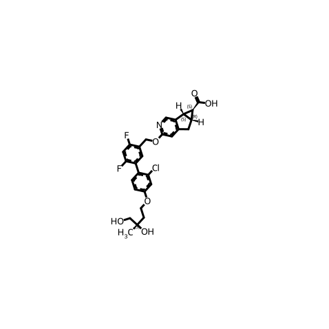 C[C@@](O)(CO)CCOc1ccc(-c2cc(COc3cc4c(cn3)[C@H]3[C@@H](C4)[C@@H]3C(=O)O)c(F)cc2F)c(Cl)c1